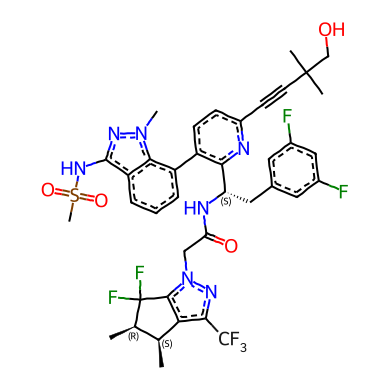 C[C@@H]1c2c(C(F)(F)F)nn(CC(=O)N[C@@H](Cc3cc(F)cc(F)c3)c3nc(C#CC(C)(C)CO)ccc3-c3cccc4c(NS(C)(=O)=O)nn(C)c34)c2C(F)(F)[C@@H]1C